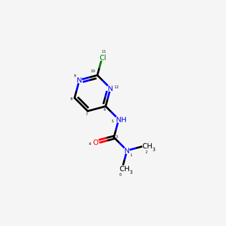 CN(C)C(=O)Nc1ccnc(Cl)n1